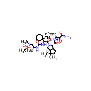 CCCCCC(NC(=O)[C@@H]1[C@H]2CCC(C)(C)[C@H]2CN1C(=O)[C@@H](NC(=O)N[C@H](CN(C)S(C)(=O)=O)C(C)(C)C)C1(C)CCCCC1)C(=O)C(N)=O